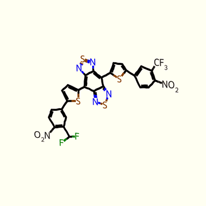 O=[N+]([O-])c1ccc(-c2ccc(-c3c4c(c(-c5ccc(-c6ccc([N+](=O)[O-])c(C(F)(F)F)c6)s5)c5nsnc35)N=S=N4)s2)cc1C(F)F